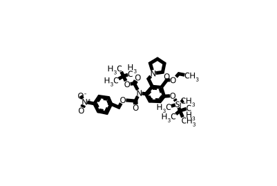 CCOC(=O)c1c(O[Si](C)(C)C(C)(C)C)ccc(N(C(=O)OCc2ccc([N+](=O)[O-])cc2)C(=O)OC(C)(C)C)c1CN1CCCC1